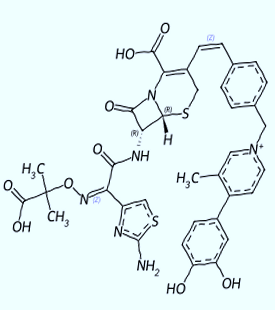 Cc1c[n+](Cc2ccc(/C=C\C3=C(C(=O)O)N4C(=O)[C@@H](NC(=O)/C(=N\OC(C)(C)C(=O)O)c5csc(N)n5)[C@H]4SC3)cc2)ccc1-c1ccc(O)c(O)c1